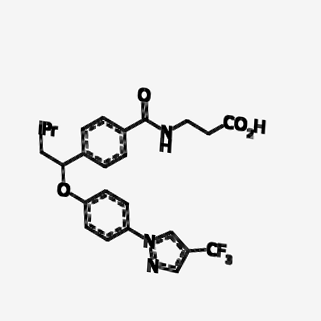 CC(C)CC(Oc1ccc(-n2cc(C(F)(F)F)cn2)cc1)c1ccc(C(=O)NCCC(=O)O)cc1